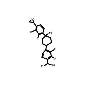 CCCC(O)c1ccc(C2CCC(O)(c3ccc(C4CO4)c(F)c3F)CC2)c(F)c1F